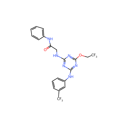 O=C(CNc1nc(Nc2cccc(C(F)(F)F)c2)nc(OCC(F)(F)F)n1)Nc1ccccc1